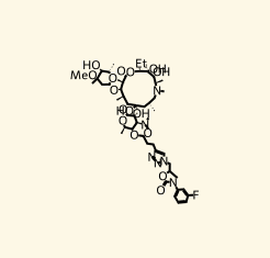 CC[C@H]1OC(=O)[C@H](C)[C@@H](O[C@H]2C[C@@](C)(OC)[C@@H](O)[C@H](C)O2)[C@H](C)[C@@H](O[C@@H]2O[C@H](C)[C@@H](OC(=O)CCc3cn(CC4CN(c5cccc(F)c5)C(=O)O4)nn3)[C@H](N(C)C)[C@H]2O)[C@](C)(O)C[C@@H](C)CN(C)[C@H](C)[C@@H](O)[C@]1(C)O